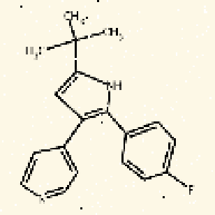 CC(C)(C)c1cc(-c2ccncc2)c(-c2ccc(F)cc2)[nH]1